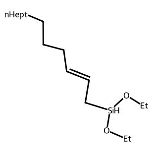 CCCCCCCCCCC=CC[SiH](OCC)OCC